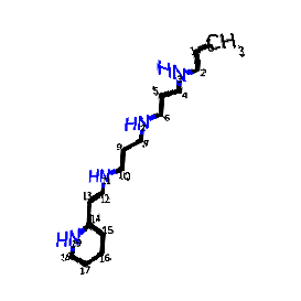 CCCNCCCNCCCNCCC1CCCCN1